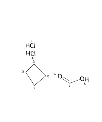 C1CCC1.Cl.Cl.O=CO